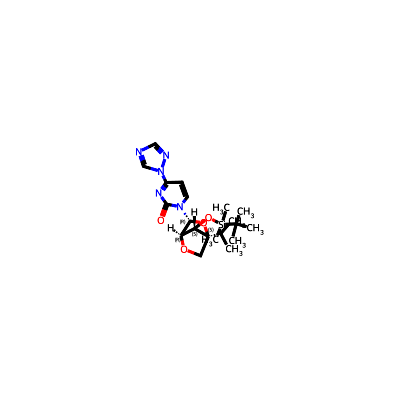 CC(C)[C@@]12CO[C@@H]([C@H](n3ccc(-n4cncn4)nc3=O)O1)[C@@H]2O[Si](C)(C)C(C)(C)C